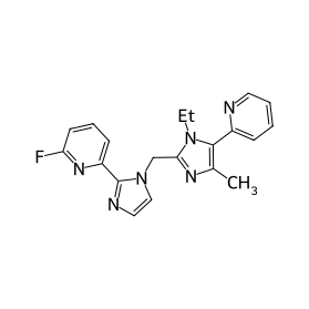 CCn1c(Cn2ccnc2-c2cccc(F)n2)nc(C)c1-c1ccccn1